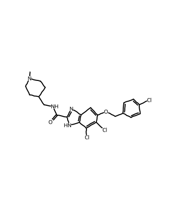 CN1CCC(CNC(=O)c2nc3cc(OCc4ccc(Cl)cc4)c(Cl)c(Cl)c3[nH]2)CC1